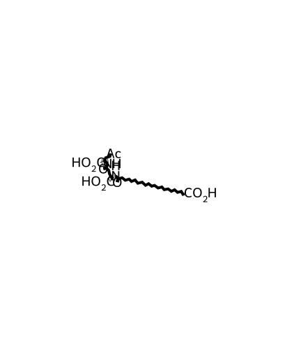 CC(=O)CC[C@H](NC(=O)CC[C@H](NC(=O)CCCCCCCCCCCCCCCCCCCCC(=O)O)C(=O)O)C(=O)O